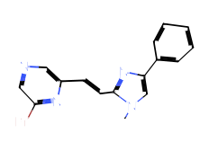 Cn1cc(-c2ccccc2)nc1C=Cc1cncc(Br)n1